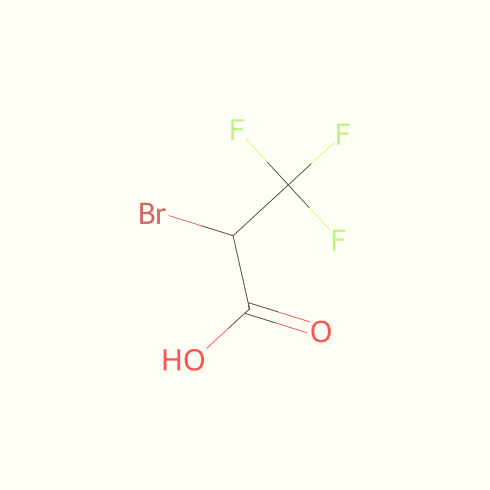 O=C(O)C(Br)C(F)(F)F